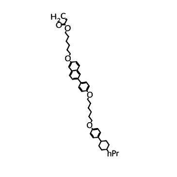 C=CC(=O)OCCCCCCOc1ccc2cc(-c3ccc(OCCCCCCOc4ccc(C5CCC(CCC)CC5)cc4)cc3)ccc2c1